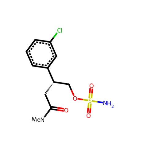 CNC(=O)C[C@@H](COS(N)(=O)=O)c1cccc(Cl)c1